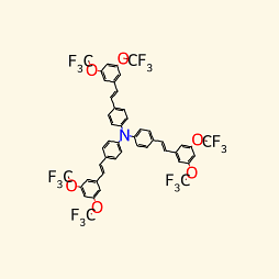 FC(F)(F)Oc1cc(/C=C/c2ccc(N(c3ccc(/C=C/c4cc(OC(F)(F)F)cc(OC(F)(F)F)c4)cc3)c3ccc(/C=C/c4cc(OC(F)(F)F)cc(OC(F)(F)F)c4)cc3)cc2)cc(OC(F)(F)F)c1